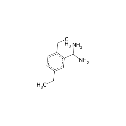 CCc1ccc(CC)c(C(N)N)c1